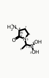 CC(B(O)O)N1CC[C@@H](N)C1=O